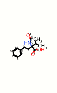 CC(C)C(CCc1ccccc1)(N[C]=O)C(=O)O